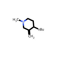 C=C1CN(C)CCC1CCCC